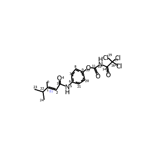 C/C(=C\C(=O)Nc1ccc(OC(=O)NC(=O)C(Cl)(Cl)Cl)cc1)C(C)C